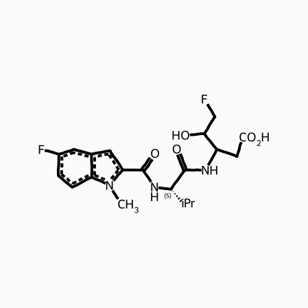 CC(C)[C@H](NC(=O)c1cc2cc(F)ccc2n1C)C(=O)NC(CC(=O)O)C(O)CF